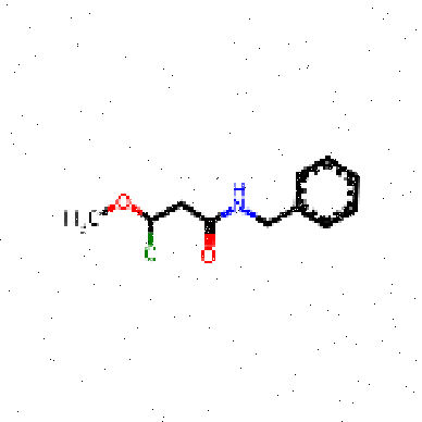 COC(Cl)CC(=O)NCc1ccccc1